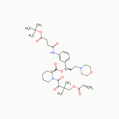 C=CC(=O)OCC(C)(C)C(=O)C(=O)N1CCCC[C@H]1C(=O)O[C@H](CCN1CCOCC1)c1cccc(NC(=O)CCC(=O)OC(C)(C)C)c1